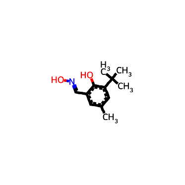 Cc1cc(C=NO)c(O)c(C(C)(C)C)c1